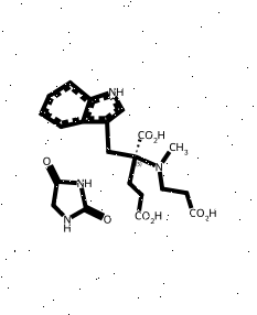 CN(CCC(=O)O)[C@@](CCC(=O)O)(Cc1c[nH]c2ccccc12)C(=O)O.O=C1CNC(=O)N1